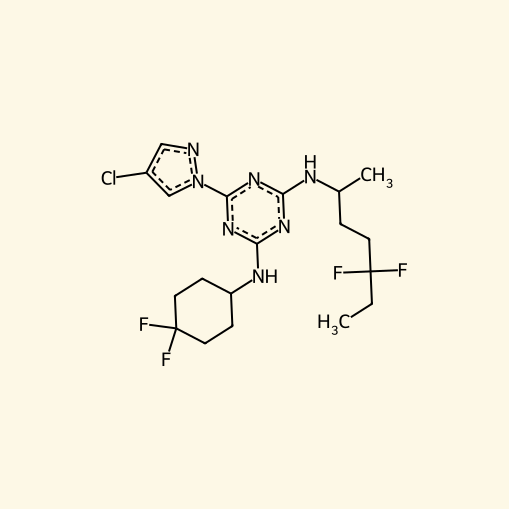 CCC(F)(F)CCC(C)Nc1nc(NC2CCC(F)(F)CC2)nc(-n2cc(Cl)cn2)n1